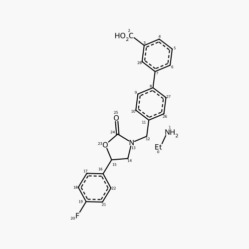 CCN.O=C(O)c1cccc(-c2ccc(CN3CC(c4ccc(F)cc4)OC3=O)cc2)c1